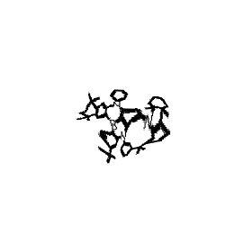 CC(C)(C)c1ccc2c(c1)N1c3cccc(c3)C(C)(C)c3ccc4c(c3)N(c3cc1c1c(c3)N(c3ccccc3)c3cc5c(cc3B21)C(C)(C)CCC5(C)C)C1(C)CCCCC41C